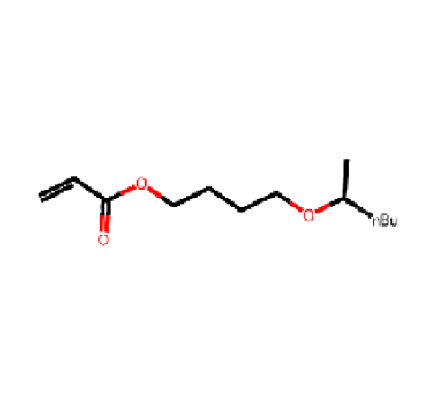 C=CC(=O)OCCCCOC(C)CCCC